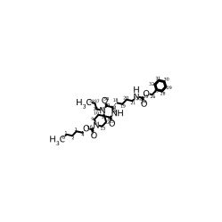 CCCCCOC(=O)N1CCC2(CC1)C(=O)N[C@@H](CCCCNC(=O)OCc1ccccc1)C(=O)N2CCC